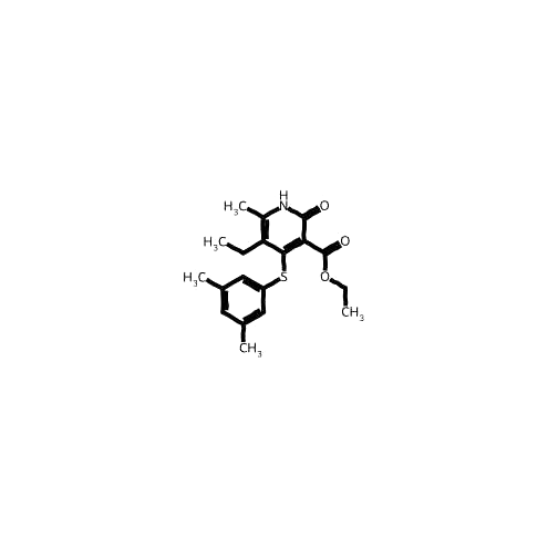 CCOC(=O)c1c(Sc2cc(C)cc(C)c2)c(CC)c(C)[nH]c1=O